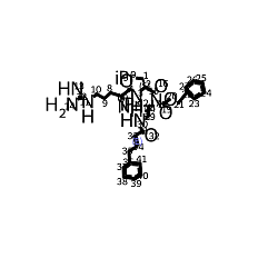 CC(C)C[C@H](NC(=O)[C@@H](N)CCCNC(=N)N)C(=O)N(C(=O)OCc1ccccc1)[C@H](CNC(=O)/C=C/Cc1ccccc1)C(C)C